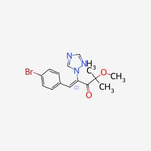 COC(C)(C)C(=O)/C(=C/c1ccc(Br)cc1)n1cncn1